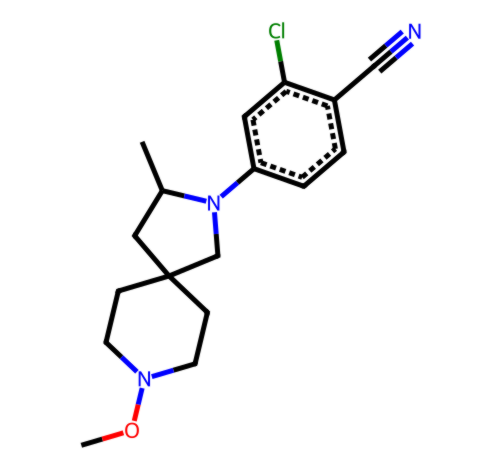 CON1CCC2(CC1)CC(C)N(c1ccc(C#N)c(Cl)c1)C2